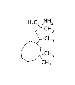 CC(CC(C)(C)N)C1CCCCCCC(C)(C)C1